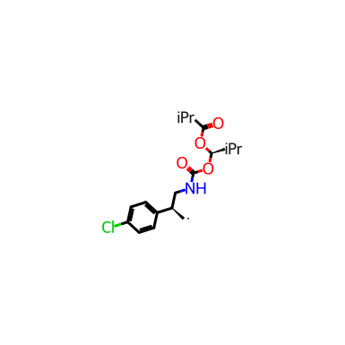 [CH2][C@H](CNC(=O)O[C@@H](OC(=O)C(C)C)C(C)C)c1ccc(Cl)cc1